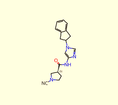 N#CN1CC[C@H](C(=O)Nc2cn(C3Cc4ccccc4C3)cn2)C1